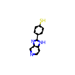 Sc1ccc(-c2nc3cnccc3[nH]2)cc1